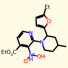 CCOC(=O)c1ccnc(N2CCC(C)CC2c2ccc(CC)o2)c1[NH+]([O-])O